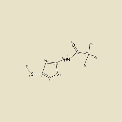 CSc1csc(CNC(=O)C(C)(C)C)c1